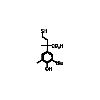 Cc1cc(C(C)(CCS)C(=O)O)cc(C(C)(C)C)c1O